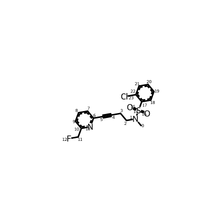 CN(CCC#Cc1cccc(CF)n1)S(=O)(=O)c1ccccc1Cl